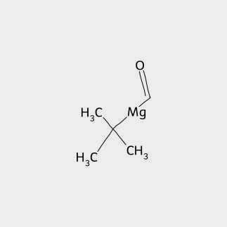 C[C](C)(C)[Mg][CH]=O